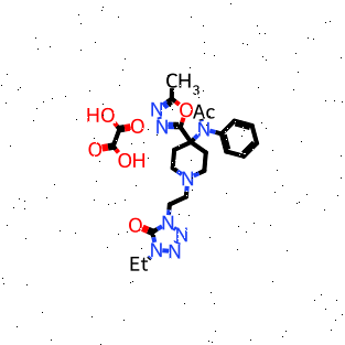 CCn1nnn(CCN2CCC(c3nnc(C)o3)(N(C(C)=O)c3ccccc3)CC2)c1=O.O=C(O)C(=O)O